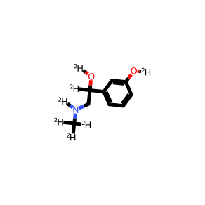 [2H]Oc1cccc(C([2H])(CN([2H])C([2H])([2H])[2H])O[2H])c1